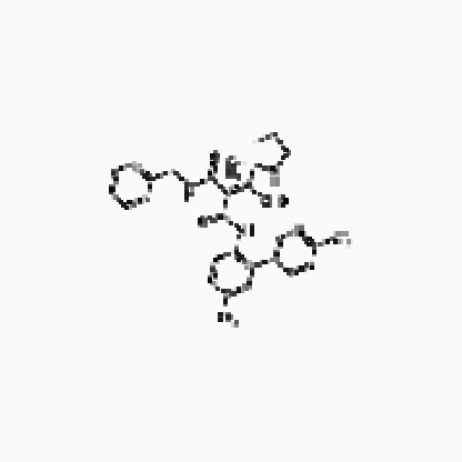 C[C@]1(/C(C=O)=C(\C(=O)NCc2ccccc2)C(=O)Nc2ccc(C(F)(F)F)cc2-c2ccc(C(F)(F)F)nc2)CCCN1